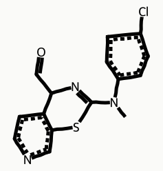 CN(C1=NC(C=O)c2ccncc2S1)c1ccc(Cl)cc1